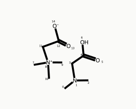 CN(C)CC(=O)O.C[N+](C)(C)CC(=O)[O-]